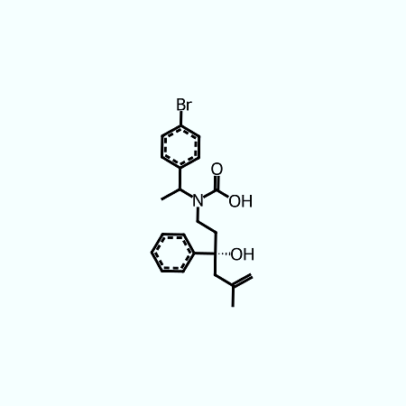 C=C(C)C[C@](O)(CCN(C(=O)O)C(C)c1ccc(Br)cc1)c1ccccc1